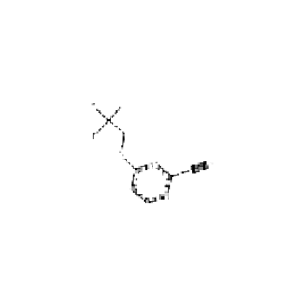 N#Cc1nccc(OCC(F)(F)F)n1